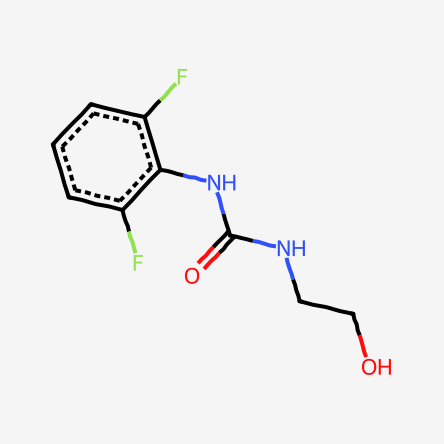 O=C(NCCO)Nc1c(F)cccc1F